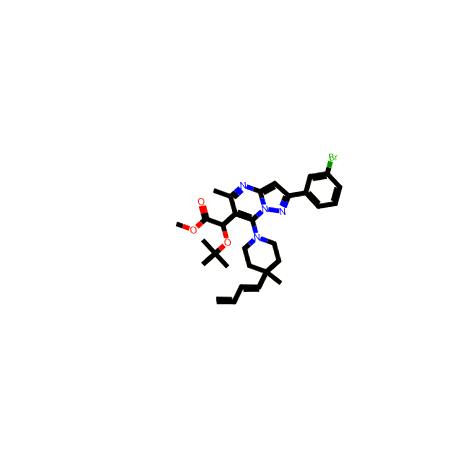 C=CC=CC1(C)CCN(c2c(C(OC(C)(C)C)C(=O)OC)c(C)nc3cc(-c4cccc(Br)c4)nn23)CC1